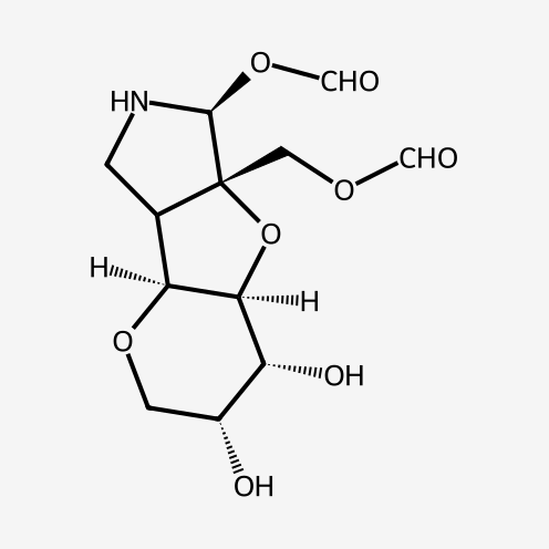 O=COC[C@@]12O[C@H]3[C@H](O)[C@H](O)CO[C@H]3C1CN[C@H]2OC=O